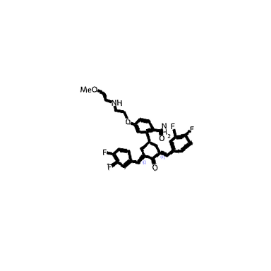 COCCNCCOc1ccc(C(N)=O)c(C2C/C(=C\c3ccc(F)c(F)c3)C(=O)/C(=C/c3ccc(F)c(F)c3)C2)c1